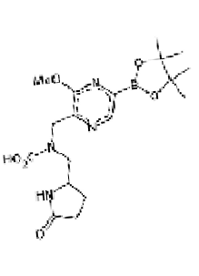 COc1nc(B2OC(C)(C)C(C)(C)O2)cnc1CN(CC1CCC(=O)N1)C(=O)O